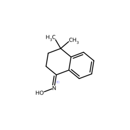 CC1(C)CC/C(=N\O)c2ccccc21